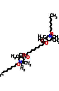 CCCCCCCCON1CC(C)(C)C(OC(=O)CCCCCCCCC(=O)OC2CC(C)(C)N(OCCCCCCCC)CC2(C)C)CC1(C)C